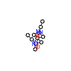 c1ccc(-c2ccc(-c3nc(-c4ccccc4-c4ccccc4-c4ccccc4-c4nc(-c5ccc(-c6ccccc6)cc5)nc5c4oc4ccccc45)c4oc5ccccc5c4n3)cc2)cc1